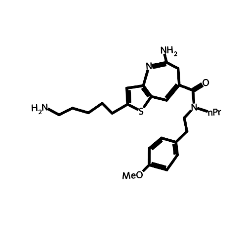 CCCN(CCc1ccc(OC)cc1)C(=O)C1=Cc2sc(CCCCCN)cc2N=C(N)C1